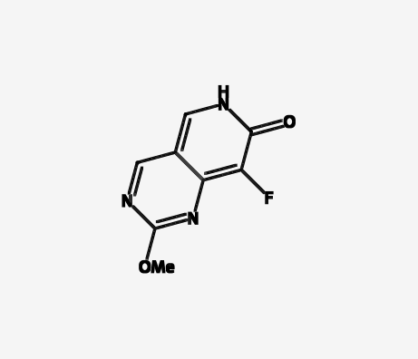 COc1ncc2c[nH]c(=O)c(F)c2n1